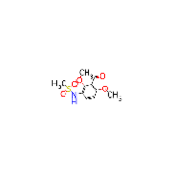 COc1ccc(NS(C)(=O)=O)c(OC)c1[C]=O